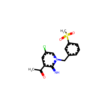 CC(=O)c1cc(Cl)cn(Cc2cccc(S(C)(=O)=O)c2)c1=N